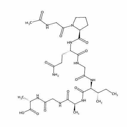 CC[C@H](C)[C@H](NC(=O)CNC(=O)[C@H](CCC(N)=O)NC(=O)[C@@H]1CCCN1C(=O)CNC(C)=O)C(=O)N[C@@H](C)C(=O)NCC(=O)N[C@@H](C)C(=O)O